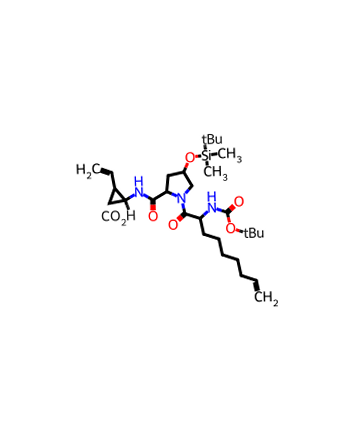 C=CCCCCCC(NC(=O)OC(C)(C)C)C(=O)N1CC(O[Si](C)(C)C(C)(C)C)CC1C(=O)NC1(C(=O)O)CC1C=C